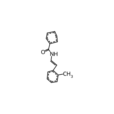 Cc1ccccc1C=CNC(=O)c1ccccc1